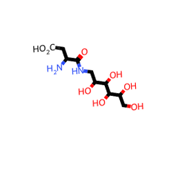 NC(CC(=O)O)C(=O)NCC(O)C(O)C(O)C(O)CO